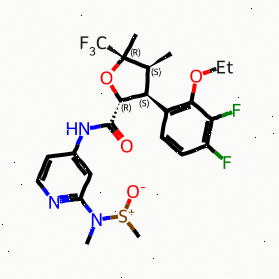 CCOc1c([C@H]2[C@H](C(=O)Nc3ccnc(N(C)[S+](C)[O-])c3)O[C@@](C)(C(F)(F)F)[C@H]2C)ccc(F)c1F